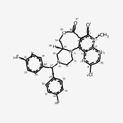 Cn1c(=O)c2c(c3nc(Cl)cnc31)N1CCN(C(c3ccc(F)cc3)c3ccc(F)cc3)C[C@@H]1COC2=O